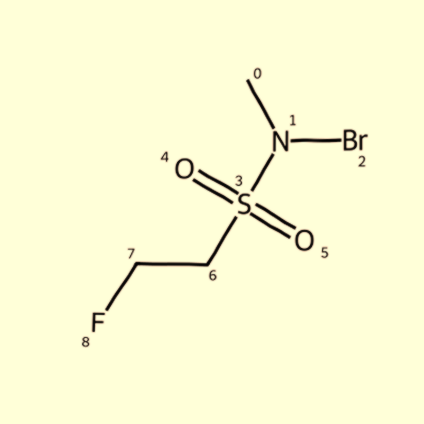 CN(Br)S(=O)(=O)CCF